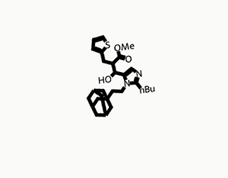 CCCCc1ncc(C(O)C(Cc2cccs2)C(=O)OC)n1CCC12CC3CC(CC(C3)C1)C2